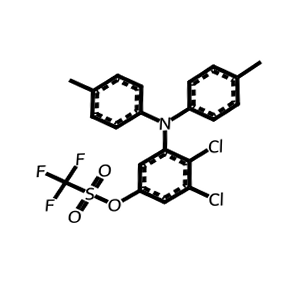 Cc1ccc(N(c2ccc(C)cc2)c2cc(OS(=O)(=O)C(F)(F)F)cc(Cl)c2Cl)cc1